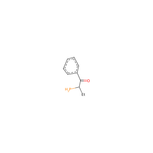 CCC(P)C(=O)c1ccccc1